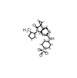 CC1CCCC1N1C(=O)C2(CC2)c2cnc(NC3CCN(S(=O)(=O)Cl)CC3)nc21